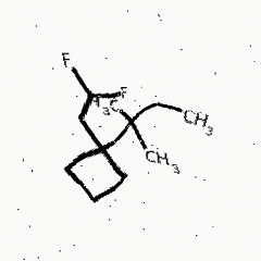 CCC(C)(C)C1(CC(F)F)CCC1